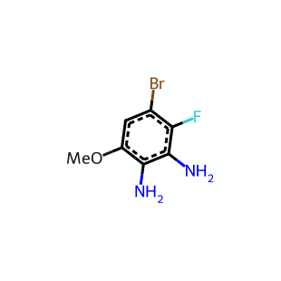 COc1cc(Br)c(F)c(N)c1N